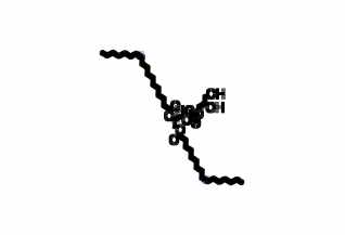 CCCCCC/C=C\CCCCCCCCCC(=O)O[C@H](COC(=O)CCCCCCC/C=C\CCCCCC)COP(=O)(O)OC[C@@H](O)CO